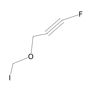 FC#CCOCI